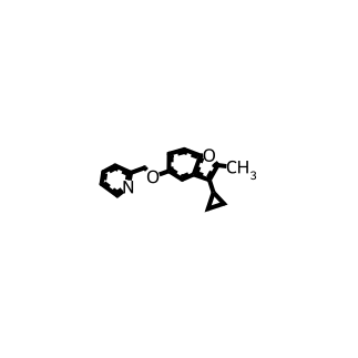 Cc1oc2ccc(OCc3ccccn3)cc2c1C1CC1